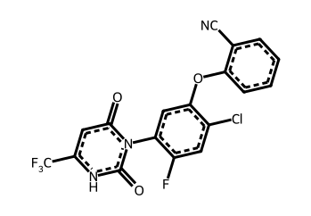 N#Cc1ccccc1Oc1cc(-n2c(=O)cc(C(F)(F)F)[nH]c2=O)c(F)cc1Cl